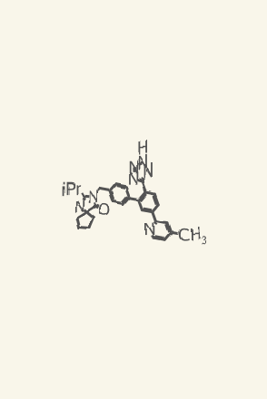 Cc1ccnc(-c2ccc(-c3nn[nH]n3)c(-c3ccc(CN4C(=O)C5(CCCC5)N=C4C(C)C)cc3)c2)c1